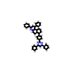 C1=CC(c2cc(-c3ccccc3)c3c(ccc4c(-c5ccc(-c6nc(-c7ccccc7)cc(-c7ccccc7)n6)cc5)cccc43)n2)=CCC1